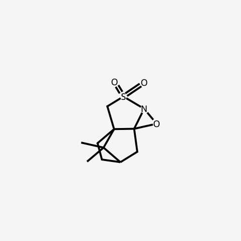 CC1(C)C2CCC13CS(=O)(=O)N1OC13C2